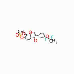 CC(F)(F)Oc1ccc(-c2coc3cc(OS(C)(=O)=O)ccc3c2=O)cc1